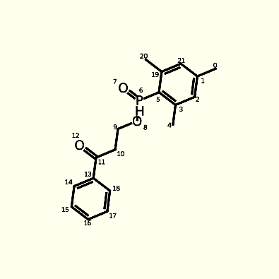 Cc1cc(C)c([PH](=O)OCCC(=O)c2ccccc2)c(C)c1